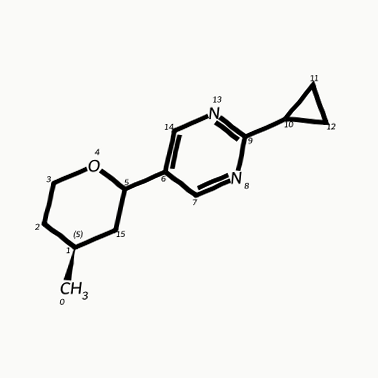 C[C@H]1CCOC(c2cnc(C3CC3)nc2)C1